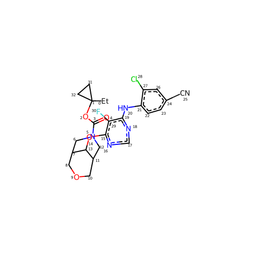 CCC1(OC(=O)N2CC3COCC(C2)C3Oc2ncnc(Nc3ccc(C#N)cc3Cl)c2F)CC1